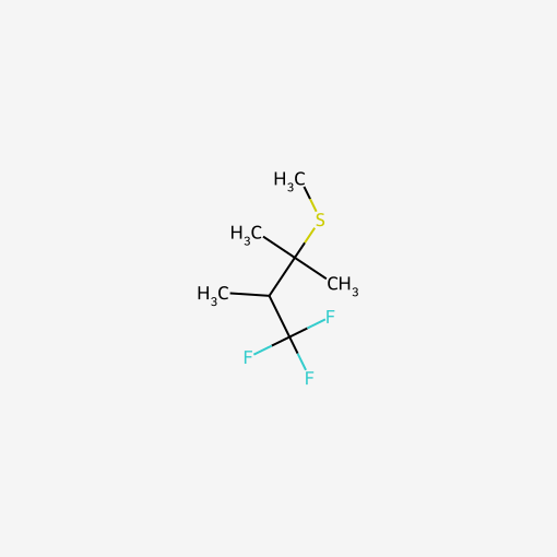 CSC(C)(C)C(C)C(F)(F)F